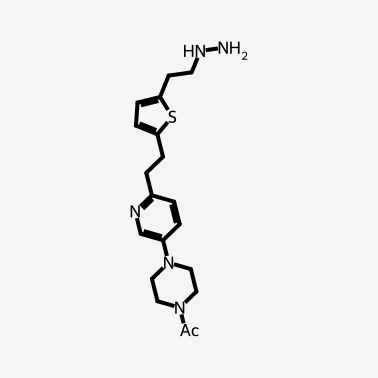 CC(=O)N1CCN(c2ccc(CCc3ccc(CCNN)s3)nc2)CC1